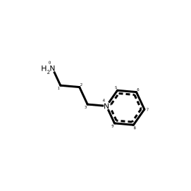 NCCC[n+]1ccccc1